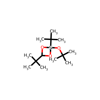 CC(C)(C)O[Si]1(C(C)(C)C)OC(C(C)(C)C)O1